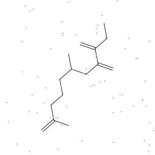 C=C(C)CCCC(C)CC(=C)C(=C)CC